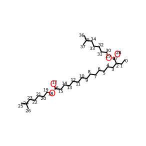 CCC(CCCCCCCCCCCCCC(=O)OCCCCCC(C)C)C(=O)OCCCCCC(C)C